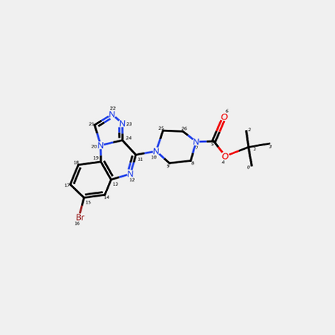 CC(C)(C)OC(=O)N1CCN(c2nc3cc(Br)ccc3n3cnnc23)CC1